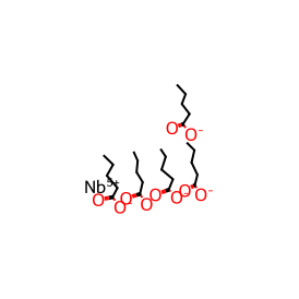 CCCCC(=O)[O-].CCCCC(=O)[O-].CCCCC(=O)[O-].CCCCC(=O)[O-].CCCCC(=O)[O-].[Nb+5]